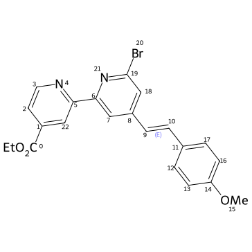 CCOC(=O)c1ccnc(-c2cc(/C=C/c3ccc(OC)cc3)cc(Br)n2)c1